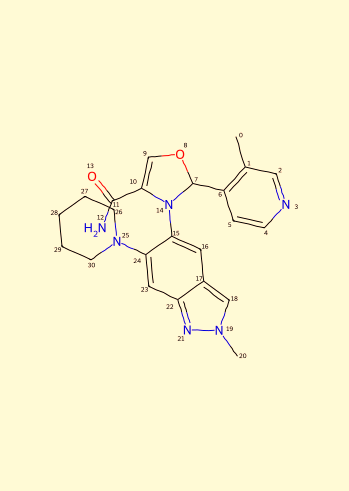 Cc1cnccc1C1OC=C(C(N)=O)N1c1cc2cn(C)nc2cc1N1CCCCC1